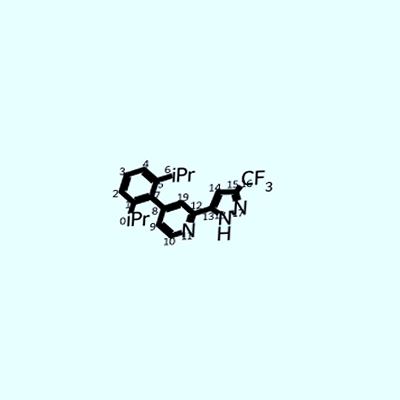 CC(C)c1cccc(C(C)C)c1-c1ccnc(-c2cc(C(F)(F)F)n[nH]2)c1